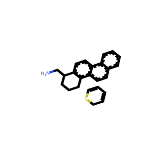 C1=CCSC=C1.NCC1CCCc2c1ccc1c2ccc2ccccc21